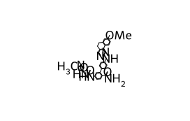 COc1ccc2c(c1)CCc1cnc(Nc3ccc(-c4cc(NC(=O)Nc5cc(C)no5)ccc4C(N)=O)cc3)nc1-2